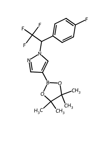 CC1(C)OB(c2cnn(C(c3ccc(F)cc3)C(F)(F)F)c2)OC1(C)C